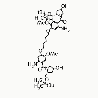 COc1cc(C(=O)N2C[C@H](O)C[C@H]2CO[Si](C)(C)C(C)(C)C)c(N)cc1OCCCCCOc1cc(N)c(C(=O)N2C[C@H](O)C[C@H]2CO[Si](C)(C)C(C)(C)C)cc1OC